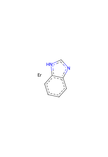 [Er].c1ccc2[nH]cnc2c1